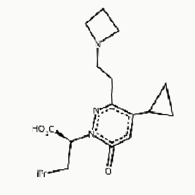 CC(C)C[C@@H](C(=O)O)n1nc(CCN2CCC2)c(C2CC2)cc1=O